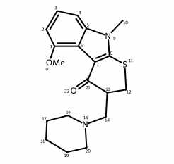 COc1cccc2c1c1c(n2C)SCC(CN2CCCCC2)C1=O